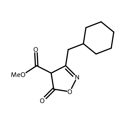 COC(=O)C1C(=O)ON=C1CC1CCCCC1